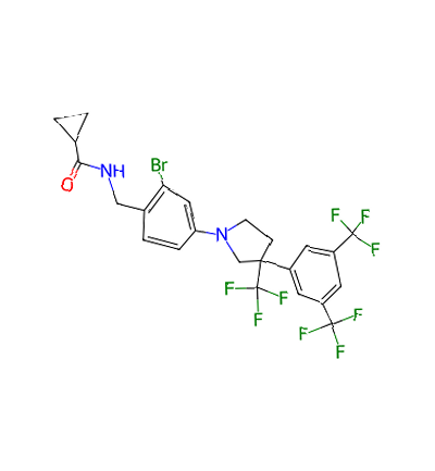 O=C(NCc1ccc(N2CCC(c3cc(C(F)(F)F)cc(C(F)(F)F)c3)(C(F)(F)F)C2)cc1Br)C1CC1